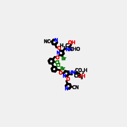 C[C@@](C=O)(CO)NCc1cc(Br)c(OCc2cccc(-c3cccc(COc4nc(OCc5cncc(C#N)c5)c(CN[C@@](C)(CO)C(=O)O)cc4Br)c3Cl)c2Cl)nc1OCc1cncc(C#N)c1